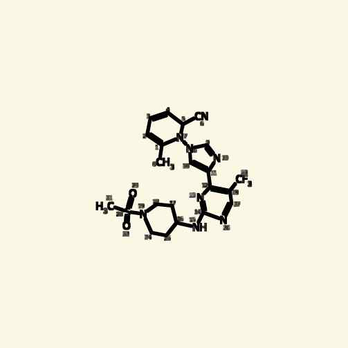 CC1=CC=CC(C#N)N1n1cnc(-c2nc(NC3CCN(S(C)(=O)=O)CC3)ncc2C(F)(F)F)c1